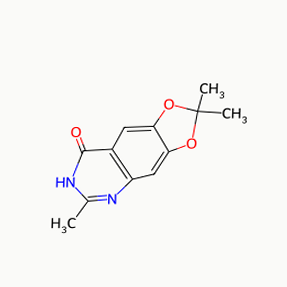 Cc1nc2cc3c(cc2c(=O)[nH]1)OC(C)(C)O3